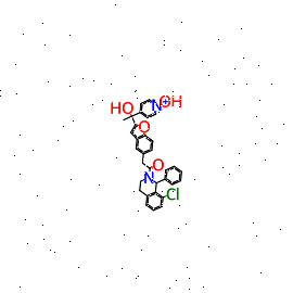 CC(O)(c1cc[n+](O)cc1)c1cc2cc(CC(=O)N3CCc4cccc(Cl)c4C3c3ccccc3)ccc2o1